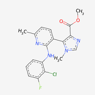 COC(=O)c1ncn(C)c1-c1ccc(C)nc1Nc1cccc(F)c1Cl